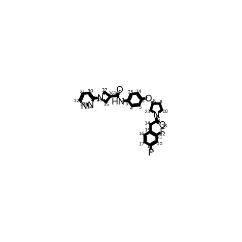 O=C(Nc1ccc(O[C@@H]2CCN(C(=O)Cc3ccc(F)cc3F)C2)cc1)C1CN(c2cccnn2)C1